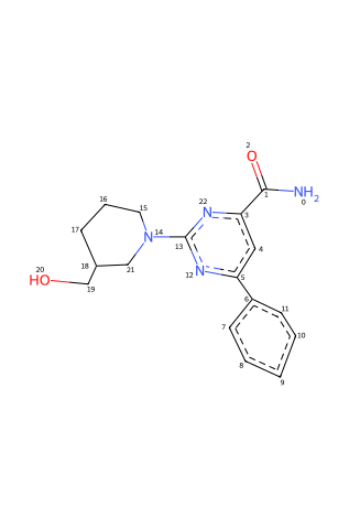 NC(=O)c1cc(-c2ccccc2)nc(N2CCCC(CO)C2)n1